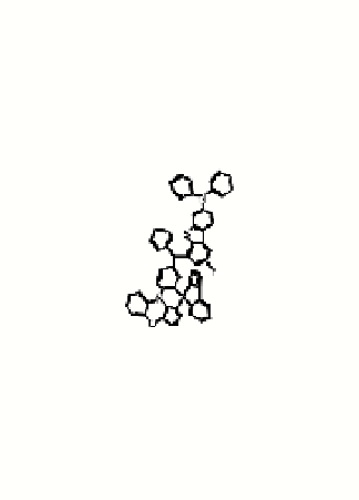 Fc1cc(C(c2ccccc2)c2ccc3c(c2)C2(c4ccccc4-c4ccccc42)c2cccc4c2N3c2ccccc2O4)c2sc3cc(N(c4ccccc4)c4ccccc4)ccc3c2c1